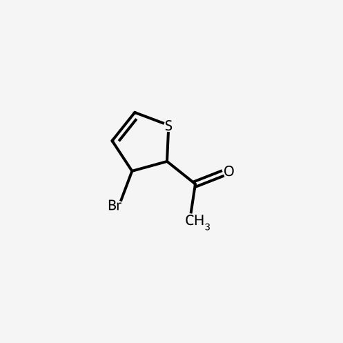 CC(=O)C1SC=CC1Br